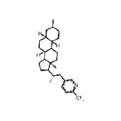 C[C@H]1CC[C@@H]2C3CC[C@@]4(C)C(CCC4[C@@H](C)Cc4ccc(C(F)(F)F)nc4)[C@@H]3CC[C@@H]2C1